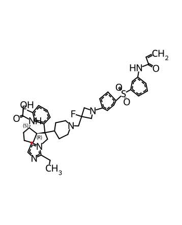 C=CC(=O)Nc1cccc(S(=O)(=O)c2ccc(N3CC(F)(CN4CCC(C(Cn5ccnc5CC)(c5cccc(F)c5)[C@H]5CCC[C@@H]5NC(=O)O)CC4)C3)cc2)c1